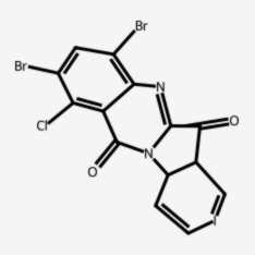 O=C1c2nc3c(Br)cc(Br)c(Cl)c3c(=O)n2C2C=CI=CC12